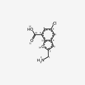 NCc1cc2cc(Cl)cc(C(=O)O)c2o1